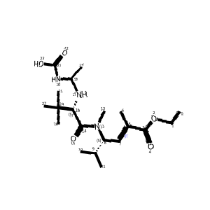 CCOC(=O)/C(C)=C/[C@H](C(C)C)N(C)C(=O)[C@@H](NC(C)NC(=O)O)C(C)(C)C